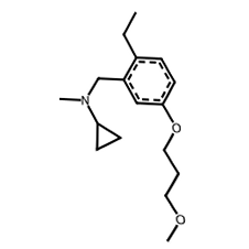 CCc1ccc(OCCCOC)cc1CN(C)C1CC1